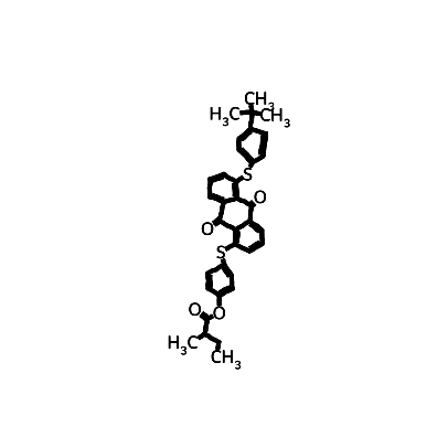 CCC(C)C(=O)Oc1ccc(Sc2cccc3c2C(=O)c2cccc(Sc4ccc(C(C)(C)C)cc4)c2C3=O)cc1